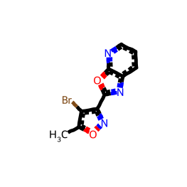 Cc1onc(-c2nc3cccnc3o2)c1Br